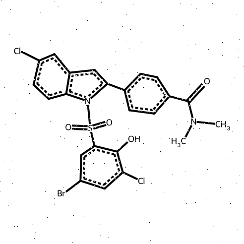 CN(C)C(=O)c1ccc(-c2cc3cc(Cl)ccc3n2S(=O)(=O)c2cc(Br)cc(Cl)c2O)cc1